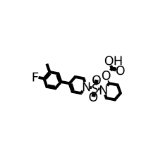 Cc1cc(C2=CCN(S(=O)(=O)N3CCCC[C@H]3OC(=O)O)CC2)ccc1F